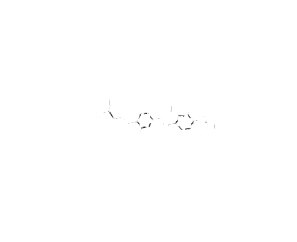 CCOc1ccc(OCc2ccc(CC/C=C(/C)F)c(F)c2)c(F)c1F